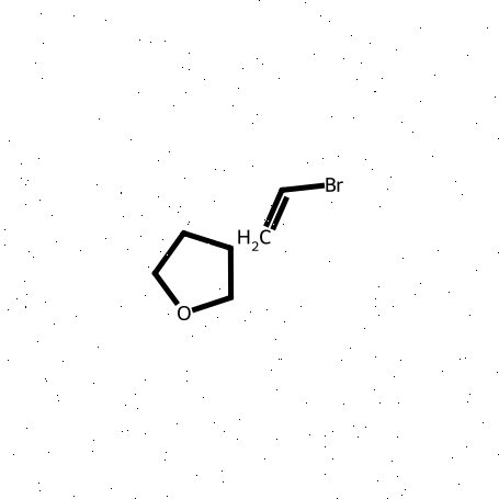 C1CCOC1.C=CBr